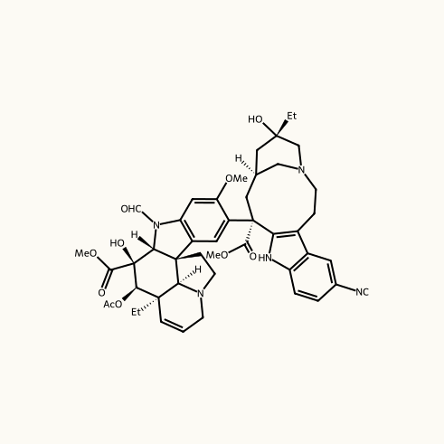 [C-]#[N+]c1ccc2[nH]c3c(c2c1)CCN1C[C@H](C[C@@](O)(CC)C1)C[C@]3(C(=O)OC)c1cc2c(cc1OC)N(C=O)[C@H]1[C@@](O)(C(=O)OC)[C@H](OC(C)=O)[C@]3(CC)C=CCN4CC[C@]21[C@@H]43